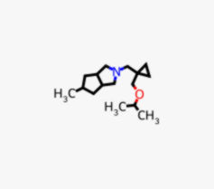 CC1CC2CN(CC3(COC(C)C)CC3)CC2C1